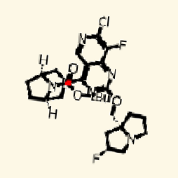 CC(C)(C)OC(=O)N1[C@@H]2CC[C@H]1CN(c1nc(OC[C@]34CCCN3C[C@@H](F)C4)nc3c(F)c(Cl)ncc13)C2